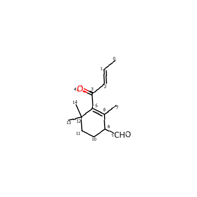 C/C=C/C(=O)C1=C(C)C(C=O)CCC1(C)C